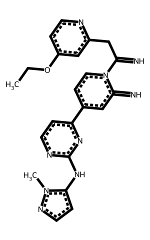 CCOc1ccnc(CC(=N)n2ccc(-c3ccnc(Nc4ccnn4C)n3)cc2=N)c1